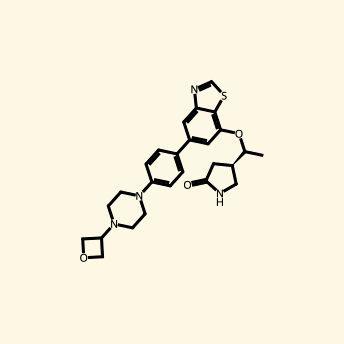 CC(Oc1cc(-c2ccc(N3CCN(C4COC4)CC3)cc2)cc2ncsc12)[C@H]1CNC(=O)C1